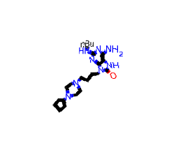 CCCCNc1nc(N)c2[nH]c(=O)n(CCCCN3CCN(C4CCCC4)CC3)c2n1